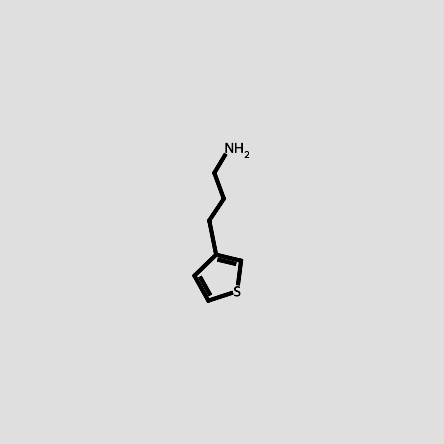 NCCCc1ccsc1